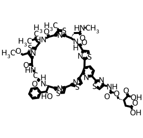 CNC(=O)C[C@@H]1NC(=O)c2csc(n2)-c2ccc(-c3nc(NC(=O)OC[C@@H](CC(=O)O)C(=O)O)cs3)nc2-c2csc(n2)-c2csc(n2)[C@H]([C@@H](O)c2ccccc2)NC(=O)CNC(=O)c2nc(sc2COC)C(C(C)C)NC(=O)c2nc1sc2C